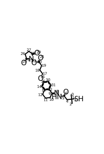 CC(C)(S)CC(=O)NN=C1CCCc2cc(OCCCC(=O)ON3C(=O)CCC3=O)ccc21